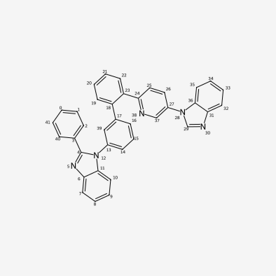 c1ccc(-c2nc3ccccc3n2-c2cccc(-c3ccccc3-c3ccc(-n4cnc5ccccc54)cn3)c2)cc1